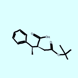 C[C@@H](c1ccccc1)[C@H](CC(=O)OC(C)(C)C)C(=O)O